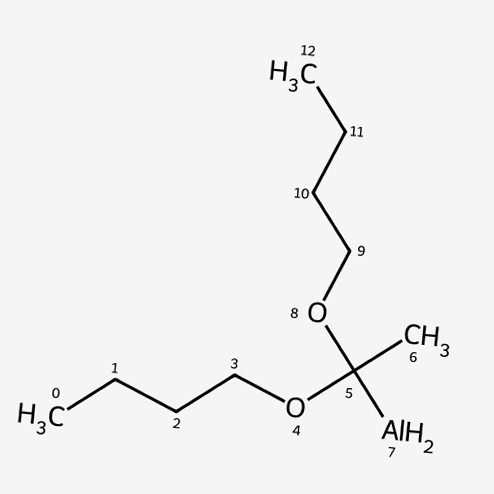 CCCCO[C](C)([AlH2])OCCCC